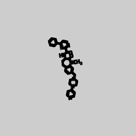 CN1C(=O)[C@@H](NC(=O)c2nccc(-c3ccccc3)n2)CCc2ccc(CN3CCN(c4ccncc4)CC3)cc21